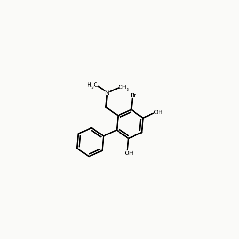 CN(C)Cc1c(Br)c(O)cc(O)c1-c1ccccc1